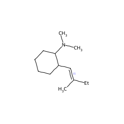 CC/C(C)=C/C1CCCCC1N(C)C